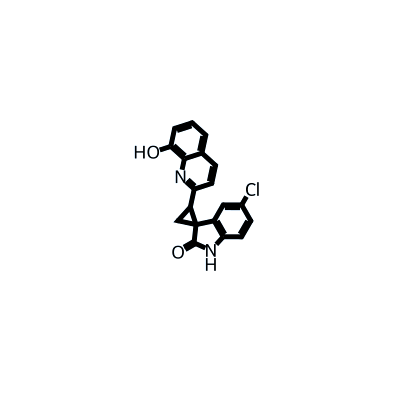 O=C1Nc2ccc(Cl)cc2C12CC2c1ccc2cccc(O)c2n1